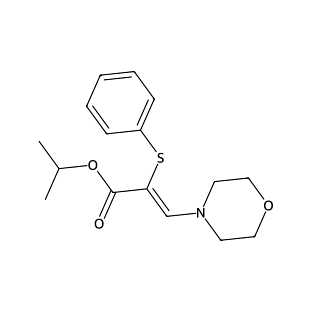 CC(C)OC(=O)C(=CN1CCOCC1)Sc1ccccc1